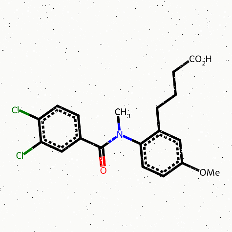 COc1ccc(N(C)C(=O)c2ccc(Cl)c(Cl)c2)c(CCCC(=O)O)c1